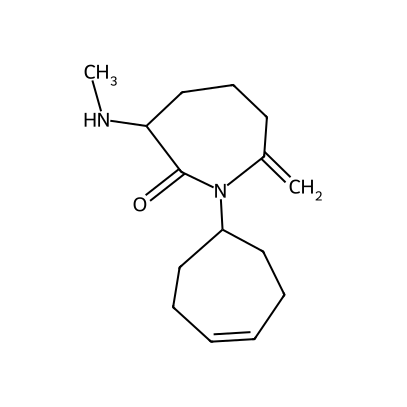 C=C1CCCC(NC)C(=O)N1C1CCC=CCC1